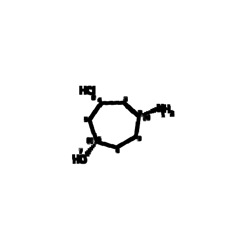 Cl.N[C@H]1CCC[C@@H](O)CC1